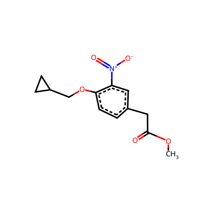 COC(=O)Cc1ccc(OCC2CC2)c([N+](=O)[O-])c1